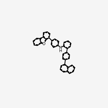 c1ccc(-c2ccc(-c3cccc4ccccc34)cc2)c(Nc2ccc(-c3cccc4c3oc3ccccc34)cc2)c1